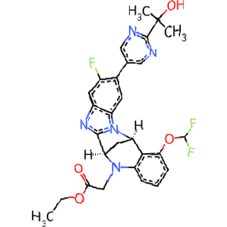 CCOC(=O)CN1c2cccc(OC(F)F)c2[C@H]2C[C@@H]1c1nc3cc(F)c(-c4cnc(C(C)(C)O)nc4)cc3n12